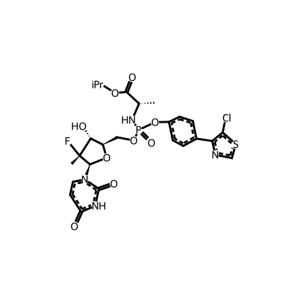 CC(C)OC(=O)[C@H](C)NP(=O)(OC[C@H]1O[C@@H](n2ccc(=O)[nH]c2=O)[C@](C)(F)[C@@H]1O)Oc1ccc(-c2ncsc2Cl)cc1